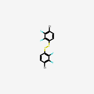 CCc1ccc(SSc2ccc(CC)c(F)c2F)c(F)c1F